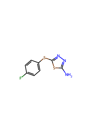 Nc1nnc(Sc2ccc(F)cc2)s1